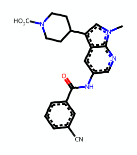 Cn1cc(C2CCN(C(=O)O)CC2)c2cc(NC(=O)c3cccc(C#N)c3)cnc21